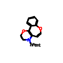 CCCCCN1CCOC2=C1C=COc1ccccc12